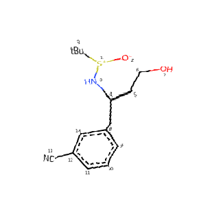 CC(C)(C)[S+]([O-])NC(CCO)c1cccc(C#N)c1